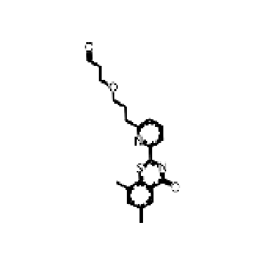 Cc1cc(C)c2sc(-c3cccc(CCCOCCC=O)n3)nc(=O)c2c1